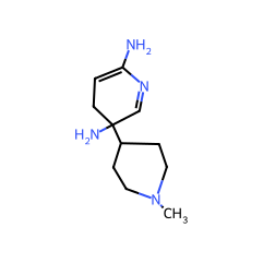 CN1CCC(C2(N)C=NC(N)=CC2)CC1